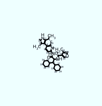 CCc1[nH]nc(C)c1-c1ccc(NC(=O)C(NC(=O)c2conc2C)C(C2CCCCC2)C2CCCCC2)nc1F